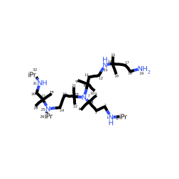 CC(C)NCCC(C)(C)N(C(C)(C)CCNC(C)(C)CCN)C(C)(C)CCN(C(C)C)C(C)(C)CNC(C)C